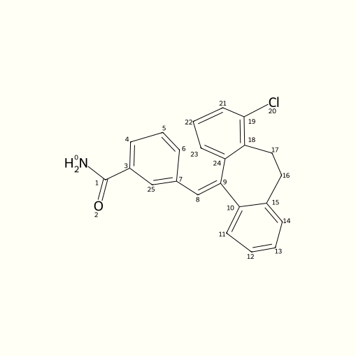 NC(=O)c1cccc(C=C2c3ccccc3CCc3c(Cl)cccc32)c1